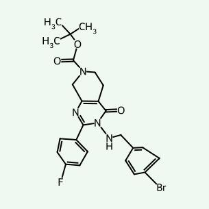 CC(C)(C)OC(=O)N1CCc2c(nc(-c3ccc(F)cc3)n(NCc3ccc(Br)cc3)c2=O)C1